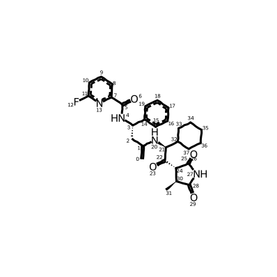 C=C(C[C@H](NC(=O)c1cccc(F)n1)c1ccccc1)N[C@H](C(=O)[C@@H]1C(=O)NC(=O)[C@H]1C)C1CCCCC1